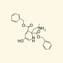 CC(N)CC1(C(=O)OCc2ccccc2)NC=C(O)C=C1C(=O)OCc1ccccc1